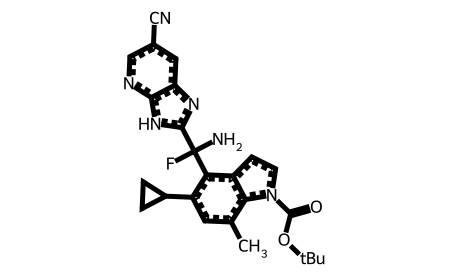 Cc1cc(C2CC2)c(C(N)(F)c2nc3cc(C#N)cnc3[nH]2)c2ccn(C(=O)OC(C)(C)C)c12